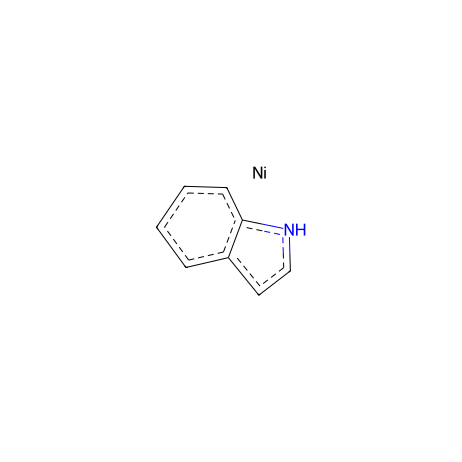 [Ni].c1ccc2[nH]ccc2c1